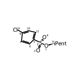 CCC[C@H](C)OS(=O)(=O)c1ccc(Cl)cc1